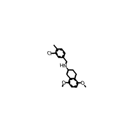 COc1ccc(OC)c2c1CCC(NCc1ccc(C)c(Cl)c1)C2